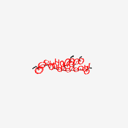 C=CC(=O)OCC(O)COCC(O)COCC(COCC(COCC(O)COC(=O)C=C)OCC(O)COC(=O)C=C)OCC(O)COC(=O)C=C